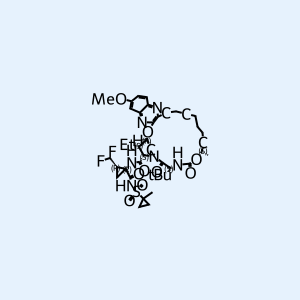 CC[C@@H]1[C@@H]2CN(C(=O)[C@H](C(C)(C)C)NC(=O)O[C@@H](C)CCCCCCCc3nc4ccc(OC)cc4nc3O2)[C@@H]1C(=O)N[C@]1(C(=O)NS(=O)(=O)C2(C)CC2)C[C@H]1C(F)F